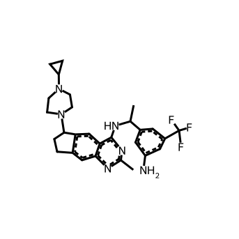 Cc1nc(NC(C)c2cc(N)cc(C(F)(F)F)c2)c2cc3c(cc2n1)CCC3N1CCN(C2CC2)CC1